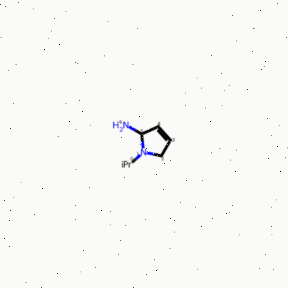 CC(C)N1CC=CC1N